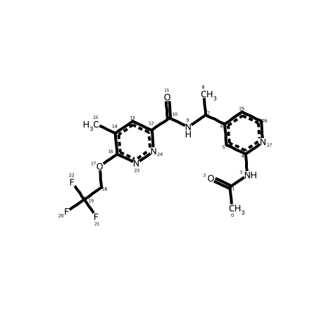 CC(=O)Nc1cc(C(C)NC(=O)c2cc(C)c(OCC(F)(F)F)nn2)ccn1